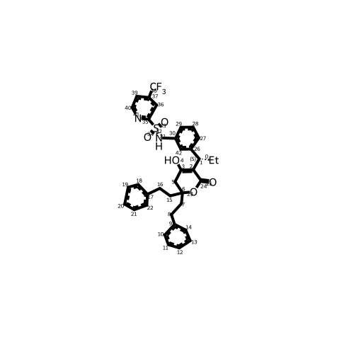 CC[C@H](C1=C(O)CC(CCc2ccccc2)(CCc2ccccc2)OC1=O)c1cccc(NS(=O)(=O)c2cc(C(F)(F)F)ccn2)c1